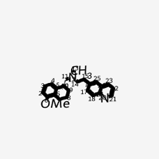 COc1cccc2c1CCC[C@H]2CN(C)CCc1ccc2ncccc2c1